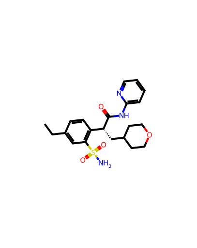 CCc1ccc([C@@H](CC2CCOCC2)C(=O)Nc2ccccn2)c(S(N)(=O)=O)c1